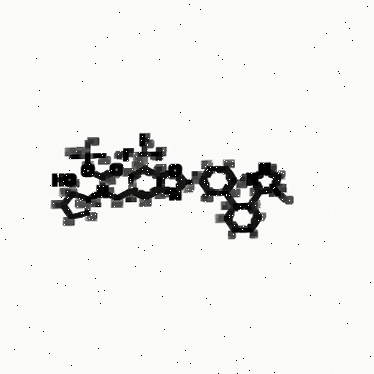 Cn1cnnc1-c1ccccc1-c1cccc(-c2nc3cc(CN(C(=O)OC(C)(C)C)[C@H]4CCC[C@@H]4O)cc(C(F)(F)F)c3o2)c1